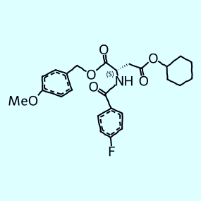 COc1ccc(COC(=O)[C@H](CC(=O)OC2CCCCC2)NC(=O)c2ccc(F)cc2)cc1